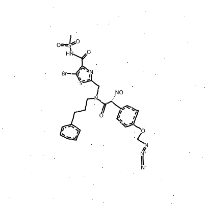 CS(=O)(=O)NC(=O)c1nc(CN(CCCc2ccccc2)C(=O)[C@H](N=O)c2ccc(OCN=[N+]=[N-])cc2)sc1Br